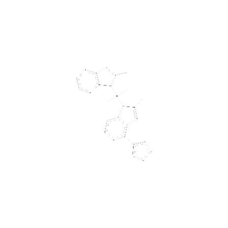 CC1=Cc2ccccc2C1C(C)(C)C1C(C)=Cc2c(-c3cccs3)cccc21